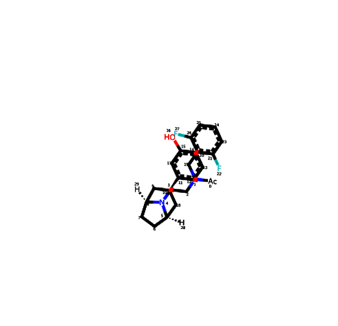 CC(=O)N(CCN1[C@@H]2CC[C@H]1C[C@@H](c1cccc(O)c1)C2)Cc1c(F)cccc1F